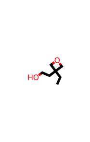 CCC1(CCO)COC1